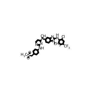 CN(c1ccc2c(c1)nc(Nc1ccc(C(F)(F)F)cc1Cl)n2C)c1ccnc(Nc2ccc(CS(C)(=O)=O)cc2)n1